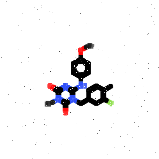 CC1=C(F)CC(Cn2c(Nc3ccc(OC(C)C)cc3)nc(=O)n(C(C)C)c2=O)C=C1